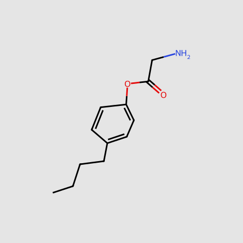 CCCCc1ccc(OC(=O)CN)cc1